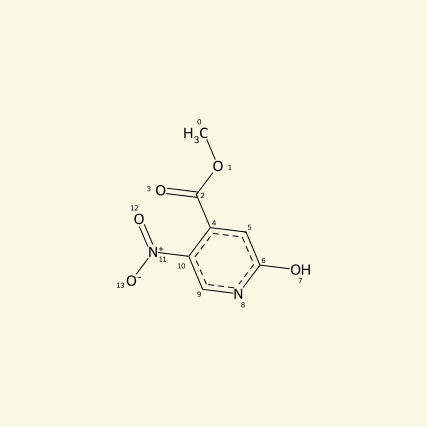 COC(=O)c1cc(O)ncc1[N+](=O)[O-]